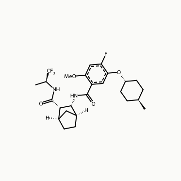 COc1cc(F)c(O[C@H]2CC[C@H](C)CC2)cc1C(=O)N[C@@H]1[C@H]2CC[C@H](C2)[C@@H]1C(=O)N[C@@H](C)C(F)(F)F